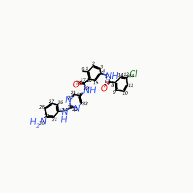 Cc1ccc(NC(=O)c2cccc(Cl)c2)cc1C(=O)Nc1cnc(Nc2cccc(N)c2)nc1